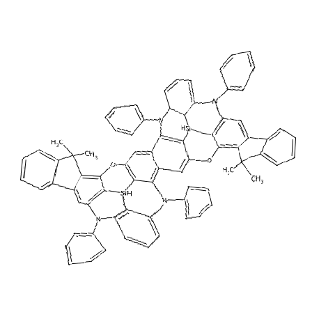 CC1(C)c2ccccc2-c2cc3c4c(c21)Oc1cc2c5c6c(cc2c2c1[SiH]4c1c(cccc1N2c1ccccc1)N3c1ccccc1)Oc1c2c(cc3c1C(C)(C)c1ccccc1-3)N(c1ccccc1)C1=CC=CC(C1[SiH]26)N5c1ccccc1